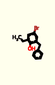 CCc1cc(Br)cc(Cc2ccccc2)c1O